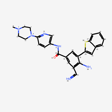 CN1CCN(c2ccc(NC(=O)c3cc(C=N)c(N)c(-c4cc5ccccc5s4)c3)cn2)CC1